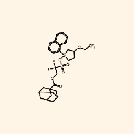 O=C(OCC(F)(F)S(=O)(=O)OS1(c2cccc3ccccc23)CCC(OCC(F)(F)F)C1)C12CC3CC(CC(C3)C1)C2